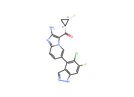 Nc1nc2ccc(-c3c(Cl)c(F)cc4[nH]ncc34)cn2c1C(=O)[C@@H]1C[C@@H]1F